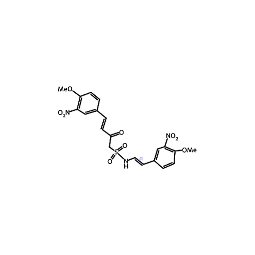 COc1ccc(C=CC(=O)CS(=O)(=O)N/C=C/c2ccc(OC)c([N+](=O)[O-])c2)cc1[N+](=O)[O-]